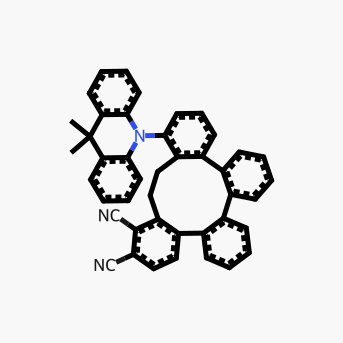 CC1(C)c2ccccc2N(c2cccc3c2CCc2c(ccc(C#N)c2C#N)-c2ccccc2-c2ccccc2-3)c2ccccc21